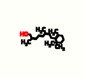 CC(C=CC=C(C)CO)=CCC1=C(C)CCCC1(C)C